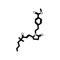 CCCCC(C)(C)C(=O)C=CC1CCC(=O)N1CCc1ccc(C(=O)OC)cc1